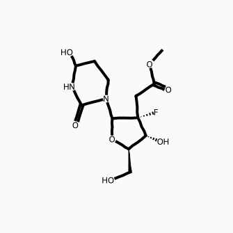 COC(=O)C[C@]1(F)C(N2CCC(O)NC2=O)O[C@H](CO)[C@H]1O